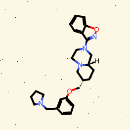 c1cc(CN2CCCC2)cc(OC[C@H]2CC[C@H]3CN(c4noc5ccccc45)CCN3C2)c1